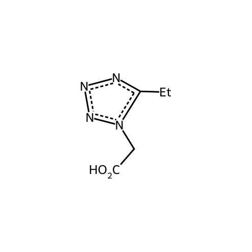 [CH2]Cc1nnnn1CC(=O)O